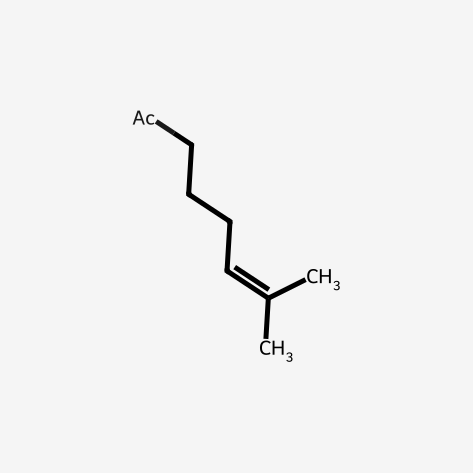 CC(=O)CCCC=C(C)C